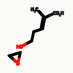 C1CO1.CC(=CCCO)C(=O)O